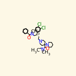 CCN(C)C(=O)C1(N2CCCCC2)CCN(CC[C@H](CN(C)C(=O)c2ccccc2)c2ccc(Cl)c(Cl)c2)CC1